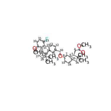 COC(=O)C[C@@H]1c2cc(OCc3ccc(-c4cc(OC)ccc4F)c(C4=CCCC4(C)C)c3)ccc2CC1(C)C